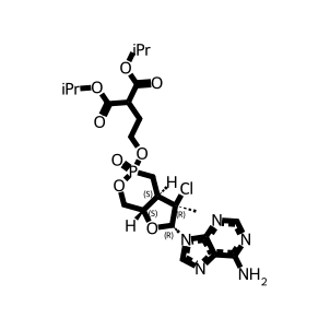 CC(C)OC(=O)C(CCOP1(=O)C[C@@H]2[C@@H](CO1)O[C@@H](n1cnc3c(N)ncnc31)[C@]2(C)Cl)C(=O)OC(C)C